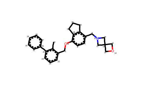 Cc1c(COc2ccc(CN3CC4(COC4)C3)c3c2CCC3)cccc1-c1ccccc1